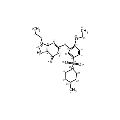 CCCc1n[nH]c2c(=S)[nH]c(Cc3cc(S(=O)(=O)N4CCN(C)CC4)ccc3OCC)nc12